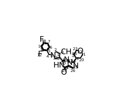 C[C@H]1CN(Cc2ccc(F)cc2F)C[C@@H]1c1nn2c(C3CCOCC3)ncc2c(=O)[nH]1